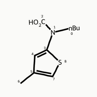 CCCCN(C(=O)O)c1cc(C)cs1